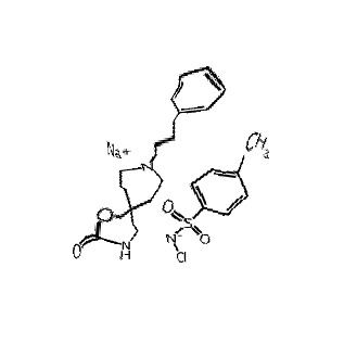 Cc1ccc(S(=O)(=O)[N-]Cl)cc1.O=C1NCC2(CCN(CCc3ccccc3)CC2)O1.[Na+]